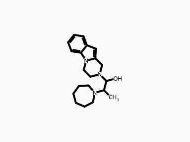 CC(C(O)N1CCn2c(cc3ccccc32)C1)N1CCCCCC1